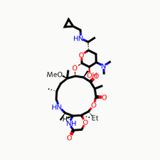 CC[C@H]1OC(=O)C(C)C(=O)[C@H](C)[C@@H](O[C@@H]2O[C@H](C(C)NCC3CC3)CC(N(C)C)[C@H]2O)[C@](C)(OC)C[C@@H](C)CN[C@H](C)[C@H]2NC(=O)CO[C@@]21C